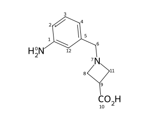 Nc1[c]ccc(CN2CC(C(=O)O)C2)c1